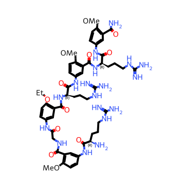 CCOc1ccc(NC(=O)CNC(=O)c2cc(NC(=O)[C@H](N)CCCNC(=N)N)ccc2OC)cc1C(=O)N[C@H](CCCNC(=N)N)C(=O)Nc1ccc(OC)c(C(=O)N[C@H](CCCNC(=N)N)C(=O)Nc2ccc(OC)c(C(N)=O)c2)c1